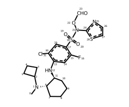 CN(C1CCC1)[C@H]1CCCC[C@@H]1Nc1cc(F)c(S(=O)(=O)N(OC=O)c2nccs2)cc1Cl